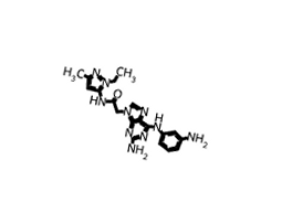 CCn1nc(C)cc1NC(=O)Cn1cnc2c(Nc3cccc(N)c3)nc(N)nc21